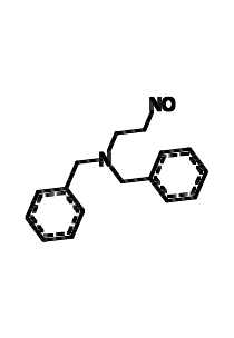 O=NCCN(Cc1ccccc1)Cc1ccccc1